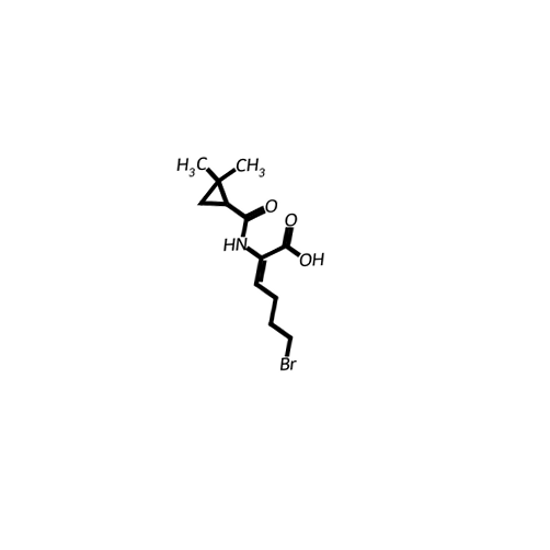 CC1(C)CC1C(=O)N/C(=C/CCCBr)C(=O)O